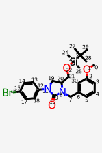 COc1cccc(CN2C(=O)N(c3ccc(Br)cc3)CC2CO[Si](C)(C)C(C)(C)C)c1